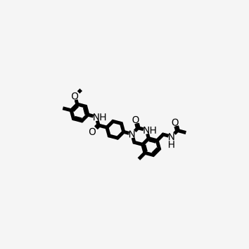 COc1cc(NC(=O)C2CCC(N3Cc4c(C)ccc(CNC(C)=O)c4NC3=O)CC2)ccc1C